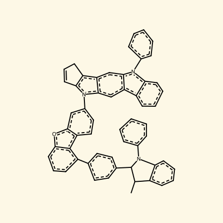 CC1c2ccccc2N(c2ccccc2)C1c1ccc(-c2cccc3oc4cc(-n5c6c(c7cc8c(cc75)c5ccccc5n8-c5ccccc5)CC=C6)ccc4c23)cc1